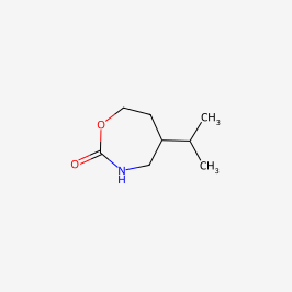 CC(C)C1CCOC(=O)NC1